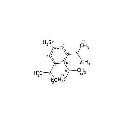 CC(C)c1cccc(C(C)C)c1C(C)C.S